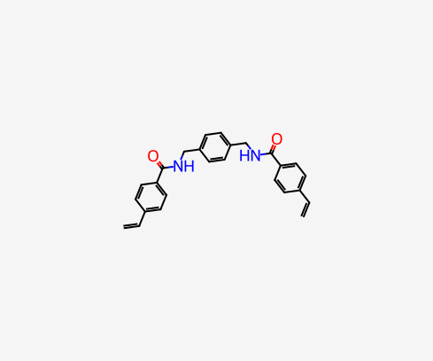 C=Cc1ccc(C(=O)NCc2ccc(CNC(=O)c3ccc(C=C)cc3)cc2)cc1